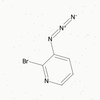 [N-]=[N+]=Nc1cccnc1Br